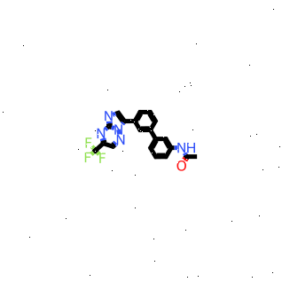 CC(=O)Nc1cccc(-c2cccc(-c3cnc4nc(C(F)(F)F)cnn34)c2)c1